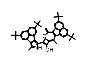 C=C(C)C1=C(/C(C)=C2\C(=O)C(c3[nH]c(C)c4c3-c3cc(C(C)(C)C)cc5cc(C(C)(C)C)cc-4c35)=C2O)c2cc(C(C)(C)C)cc3cc(C(C)(C)C)cc1c23